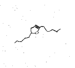 CCCCCC1=CCC(CCCCC)O1